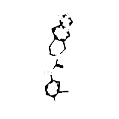 O=C(Nc1ccc(Cl)c(Cl)c1)N1CCc2cc3nncn3cc2C1